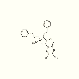 N#CC1(COCc2ccccc2)OC(n2cc(Br)c(N)nc2=O)C(O)C1OCc1ccccc1